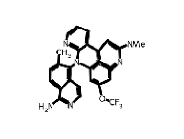 CNc1cc(-c2cccnc2N(c2cccc(OC(F)(F)F)c2)c2c(C)ccc3c(N)nccc23)ncn1